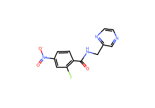 O=C(NCc1cnccn1)c1ccc([N+](=O)[O-])cc1F